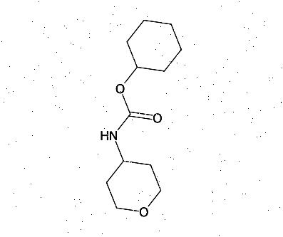 O=C(NC1CCOCC1)OC1CCCCC1